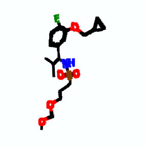 COCOCCCS(=O)(=O)N[C@@H](c1ccc(F)c(OCC2CC2)c1)C(C)C